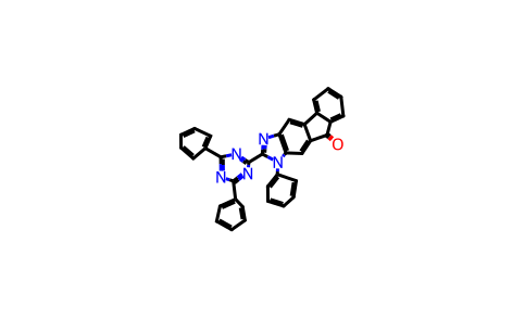 O=C1c2ccccc2-c2cc3nc(-c4nc(-c5ccccc5)nc(-c5ccccc5)n4)n(-c4ccccc4)c3cc21